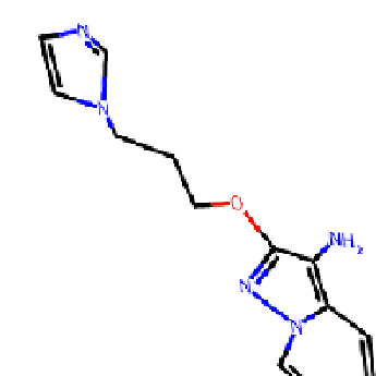 Nc1c(OCCCn2ccnc2)nn2ccccc12